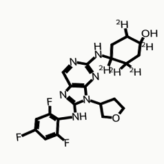 [2H]C1CC([2H])(Nc2ncc3nc(Nc4c(F)cc(F)cc4F)n(C4CCOC4)c3n2)C([2H])([2H])CC1([2H])O